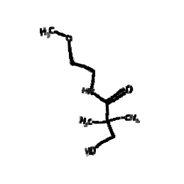 COCCNC(=O)C(C)(C)CO